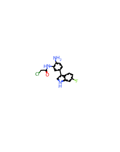 Nc1ccc(-c2c[nH]c3cc(F)ccc23)cc1NC(=O)CCl